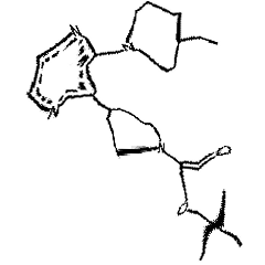 CC1CCN(c2nccnc2C2CN(C(=O)OC(C)(C)C)C2)C1